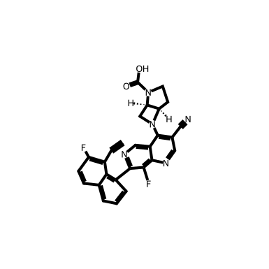 C#Cc1c(F)ccc2cccc(-c3ncc4c(N5C[C@@H]6[C@H]5CCN6C(=O)O)c(C#N)cnc4c3F)c12